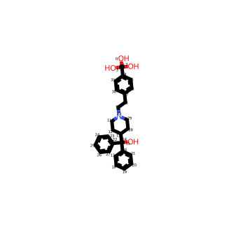 OC(O)(O)c1ccc(CCN2CCC(C(O)(c3ccccc3)c3ccccc3)CC2)cc1